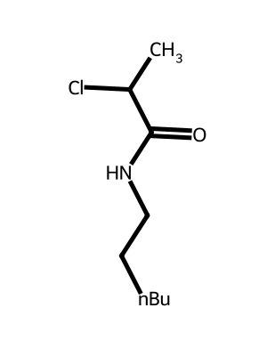 CCCCCCNC(=O)C(C)Cl